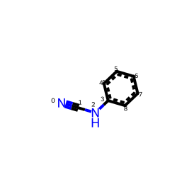 N#CNc1[c]cccc1